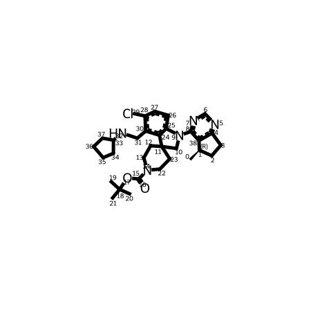 C[C@@H]1CCc2ncnc(N3CC4(CCN(C(=O)OC(C)(C)C)CC4)c4c3ccc(Cl)c4CNC3CCCC3)c21